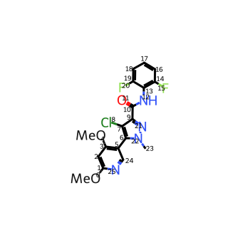 COc1cc(OC)c(-c2c(Cl)c(C(=O)Nc3c(F)cccc3F)nn2C)cn1